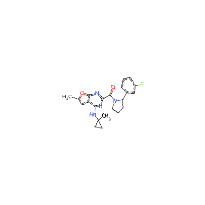 Cc1cc2c(NC3(C)CC3)nc(C(=O)N3CCCC3c3cccc(F)c3)nc2o1